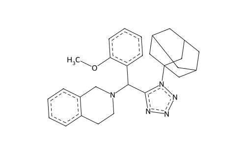 COc1ccccc1C(c1nnnn1C12CC3CC(CC(C3)C1)C2)N1CCc2ccccc2C1